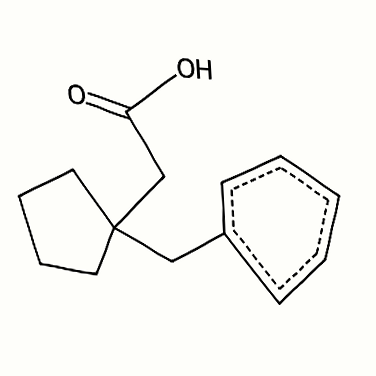 O=C(O)CC1(Cc2ccccc2)CCCC1